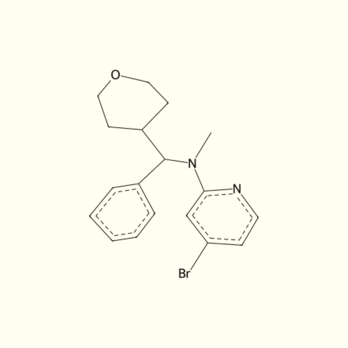 CN(c1cc(Br)ccn1)C(c1ccccc1)C1CCOCC1